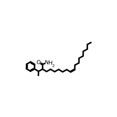 CCCCCCCC/C=C\CCCCCCC(C(N)=O)C(C)c1ccccc1